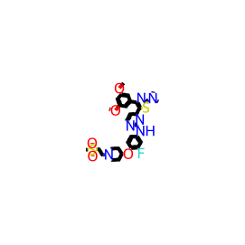 COc1cc(OC)cc(-c2nc(N(C)C)sc2-c2ccnc(Nc3ccc(OC4CCN(CCS(C)(=O)=O)CC4)c(F)c3)n2)c1